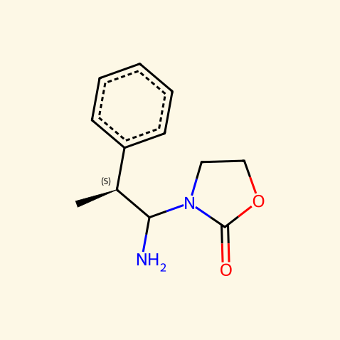 C[C@@H](c1ccccc1)C(N)N1CCOC1=O